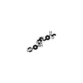 C=CC(=O)Nc1ccc(Cn2ncc3cnc(Nc4ccc(N5CCOCC5)cc4)nc32)cc1